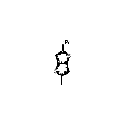 CCCc1cc2sc(C)cc2s1